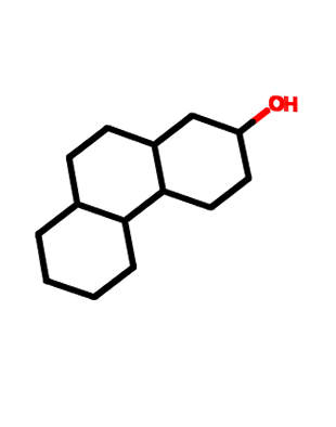 OC1CCC2C(CCC3CCCCC32)C1